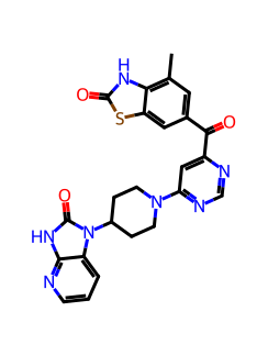 Cc1cc(C(=O)c2cc(N3CCC(n4c(=O)[nH]c5ncccc54)CC3)ncn2)cc2sc(=O)[nH]c12